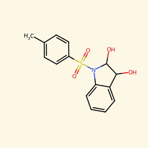 Cc1ccc(S(=O)(=O)N2c3ccccc3C(O)C2O)cc1